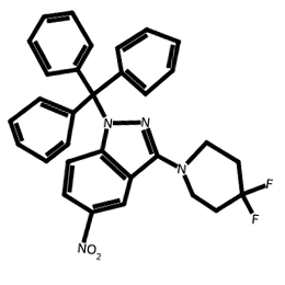 O=[N+]([O-])c1ccc2c(c1)c(N1CCC(F)(F)CC1)nn2C(c1ccccc1)(c1ccccc1)c1ccccc1